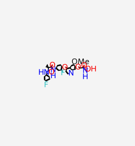 COc1cc2c(Oc3ccc(NC(=O)C4(C(=O)Nc5ccc(F)cc5)CC4)cc3F)ccnc2cc1OCC(=O)NO